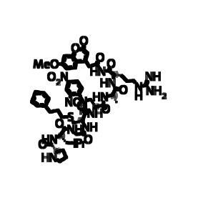 COc1ccc2c(CC(=O)NC(=O)[C@H](CCCNC(=N)N)NC(=O)[C@H](C)NC(=O)[C@H](CNc3ccc([N+](=O)[O-])cc3[N+](=O)[O-])NC(=O)[C@H](CSCCCc3ccccc3)NC(=O)CNC(=O)[C@H](CC(C)C)NC(=O)[C@@H]3CCCN3)cc(=O)oc2c1